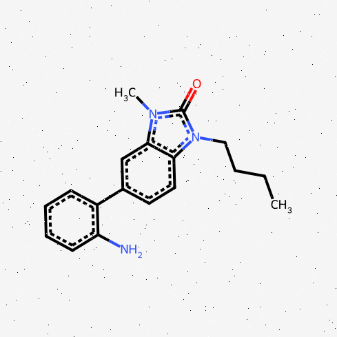 CCCCn1c(=O)n(C)c2cc(-c3ccccc3N)ccc21